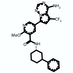 COc1ncc(-c2cc(C(F)(F)F)c3c(N)ncnn23)cc1C(=O)N[C@H]1CCCC(c2ccccc2)C1